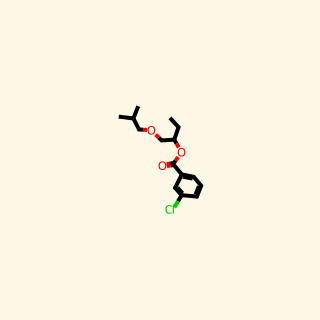 CCC(COCC(C)C)OC(=O)c1cccc(Cl)c1